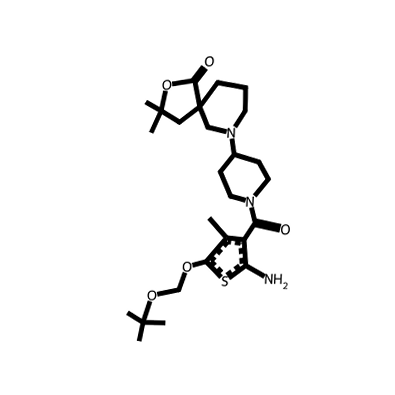 Cc1c(OCOC(C)(C)C)sc(N)c1C(=O)N1CCC(N2CCCC3(C2)CC(C)(C)OC3=O)CC1